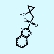 O=S(=O)(CC1(O)CC1)c1nc2ccccc2s1